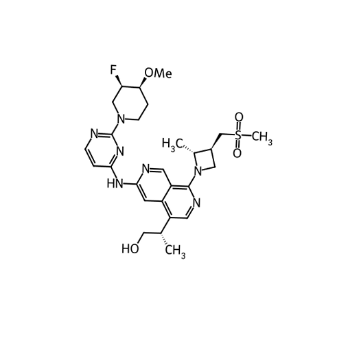 CO[C@H]1CCN(c2nccc(Nc3cc4c([C@H](C)CO)cnc(N5C[C@H](CS(C)(=O)=O)[C@H]5C)c4cn3)n2)C[C@H]1F